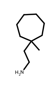 CC1(CCN)CCCCCC1